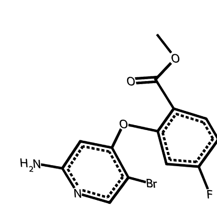 COC(=O)c1ccc(F)cc1Oc1cc(N)ncc1Br